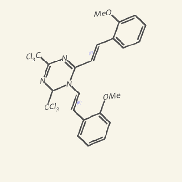 COc1ccccc1/C=C/C1=NC(C(Cl)(Cl)Cl)=NC(C(Cl)(Cl)Cl)N1/C=C/c1ccccc1OC